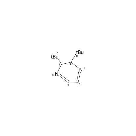 CC(C)(C)C1N=CC=NC1C(C)(C)C